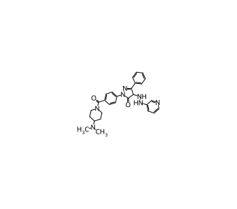 CN(C)C1CCN(C(=O)c2ccc(N3N=C(c4ccccc4)C(NNc4cccnc4)C3=O)cc2)CC1